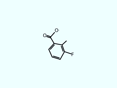 Cc1c(F)cccc1C([O])=O